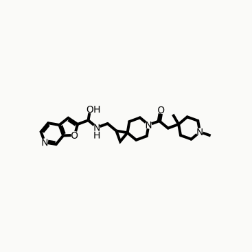 CN1CCC(C)(CC(=O)N2CCC3(CC2)CC3CNC(O)c2cc3ccncc3o2)CC1